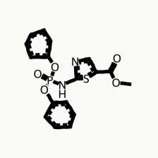 COC(=O)c1cnc(NP(=O)(Oc2ccccc2)Oc2ccccc2)s1